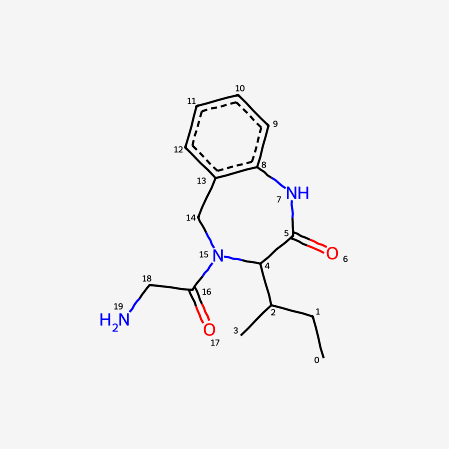 CCC(C)C1C(=O)Nc2ccccc2CN1C(=O)CN